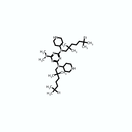 CCC(C)(C)CCCC(C)(C)CN(c1nc(N(C)C)nc(N(CC(C)(C)CCCC(C)(C)CC)C2CCNCC2)n1)C1CCNCC1